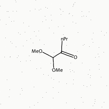 CCCC(=O)C(OC)OC